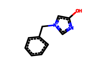 Oc1cn(Cc2ccccc2)cn1